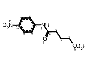 O=C(O)CCCC(=O)Nc1ccc([N+](=O)[O-])cc1